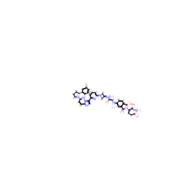 O=C1CCC(N2C(=O)c3ccc(NCC(=O)NC4CN(c5cccc(-c6cnc7ccc(N8CCC[C@@H]8c8cccc(F)c8)nn67)n5)C4)cc3C2=O)C(=O)N1